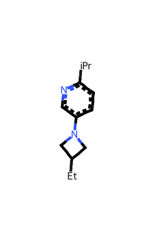 CCC1CN(c2ccc(C(C)C)nc2)C1